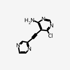 Nc1ncnc(Cl)c1C#Cc1cnccn1